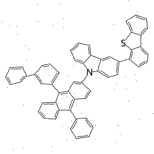 c1ccc(-c2cccc(-c3c4ccccc4c(-c4ccccc4)c4ccc(-n5c6ccccc6c6cc(-c7cccc8c7sc7ccccc78)ccc65)cc34)c2)cc1